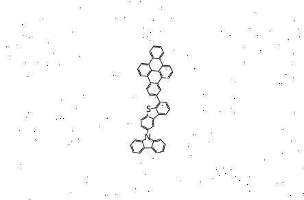 c1cc(-c2ccc3c(c2)c2cccc4c5ccccc5c5cccc3c5c42)c2sc3ccc(-n4c5ccccc5c5ccccc54)cc3c2c1